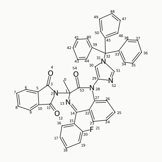 CC1(N2C(=O)c3ccccc3C2=O)N=C(c2ccccc2F)c2ccccc2N(c2cn(C(c3ccccc3)(c3ccccc3)c3ccccc3)cn2)C1=O